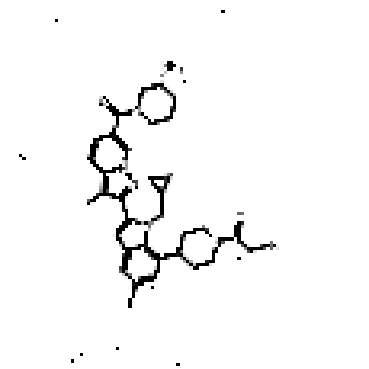 Cc1c(-c2cc3cc(F)cc(C4CCN(C(=O)CC(C)C)CC4)c3n2CC2CC2)nn2cc(C(=O)N3CCC[C@@H](N)C3)ccc12